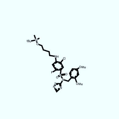 COc1ccc(CN(c2ncns2)S(=O)(=O)c2cc(Cl)c(NCCCCO[Si](C)(C)C(C)(C)C)cc2F)c(OC)c1